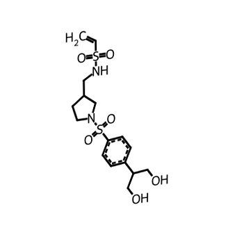 C=CS(=O)(=O)NCC1CCN(S(=O)(=O)c2ccc(C(CO)CO)cc2)C1